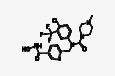 CN1CCN(C(=O)N(Cc2ccc(C(=O)NO)cc2)c2ccc(Cl)c(C(F)(F)F)c2)CC1